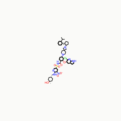 CC(C)c1ccccc1[C@H]1CCC[C@H]1N1CC2(CCN(c3ccc(C(=O)NS(=O)(=O)c4cnc(NC[C@H]5CC[C@](C)(O)CC5)c([N+](=O)[O-])c4)c(Oc4cc5cc[nH]c5nc4Cl)c3)CC2)C1